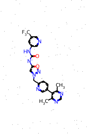 Cc1ncnc(C)c1-c1ccc(C[n+]2cc([N-]C(=O)Nc3cncc(C(F)(F)F)c3)on2)nc1